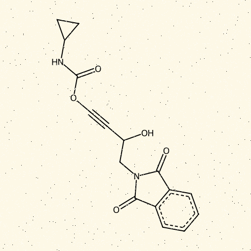 O=C(NC1CC1)OC#CC(O)CN1C(=O)c2ccccc2C1=O